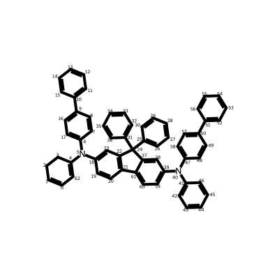 C1=CCCC(N(c2ccc(-c3ccccc3)cc2)c2ccc3c(c2)C(c2ccccc2)(c2ccccc2)c2cc(N(c4ccccc4)c4ccc(-c5ccccc5)cc4)ccc2-3)=C1